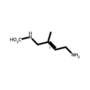 C/C(=C\CN)CNC(=O)O